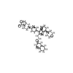 O=C(O)N1CCN(c2ccc(-c3c(CCOc4cnc5ccccc5c4)nc4c(N5CCOCC5)ccnn34)cn2)CC1